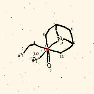 CC(C)CC(=O)N1C2CC1CN(C(C)C)C2